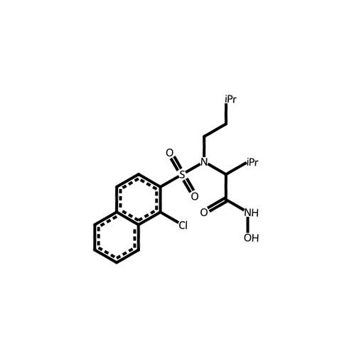 CC(C)CCN(C(C(=O)NO)C(C)C)S(=O)(=O)c1ccc2ccccc2c1Cl